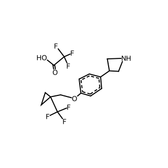 FC(F)(F)C1(COc2ccc(C3CNC3)cc2)CC1.O=C(O)C(F)(F)F